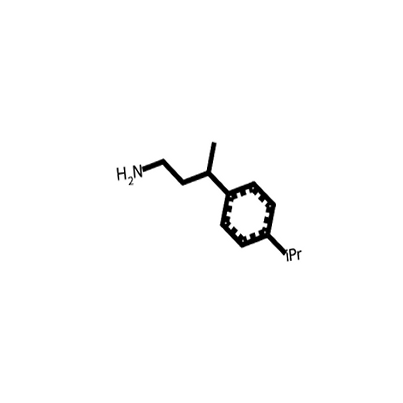 CC(C)c1ccc(C(C)CCN)cc1